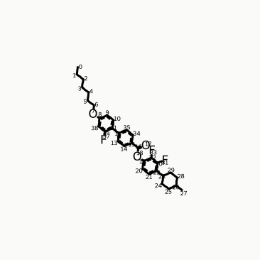 CCCCCCCOc1ccc(-c2ccc(C(=O)Oc3ccc(C4CCC(C)CC4)c(F)c3F)cc2)c(F)c1